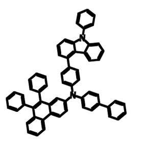 c1ccc(-c2ccc(N(c3ccc(-c4cccc5c4c4ccccc4n5-c4ccccc4)cc3)c3ccc4c(c3)c(-c3ccccc3)c(-c3ccccc3)c3ccccc34)cc2)cc1